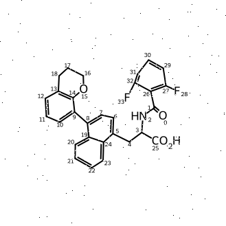 O=C(NC(Cc1ccc(-c2cccc3c2OCCC3)c2ccccc12)C(=O)O)c1c(F)cccc1F